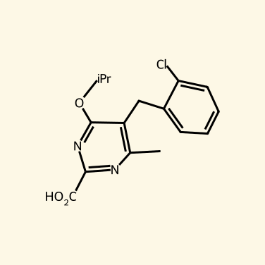 Cc1nc(C(=O)O)nc(OC(C)C)c1Cc1ccccc1Cl